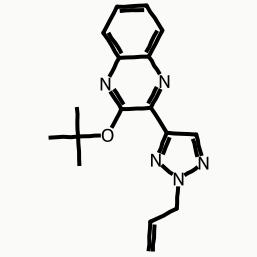 C=CCn1ncc(-c2nc3ccccc3nc2OC(C)(C)C)n1